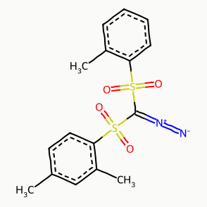 Cc1ccc(S(=O)(=O)C(=[N+]=[N-])S(=O)(=O)c2ccccc2C)c(C)c1